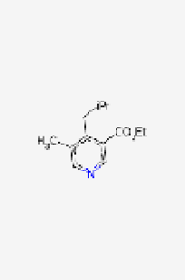 CCOC(=O)c1cncc(C)c1CC(C)C